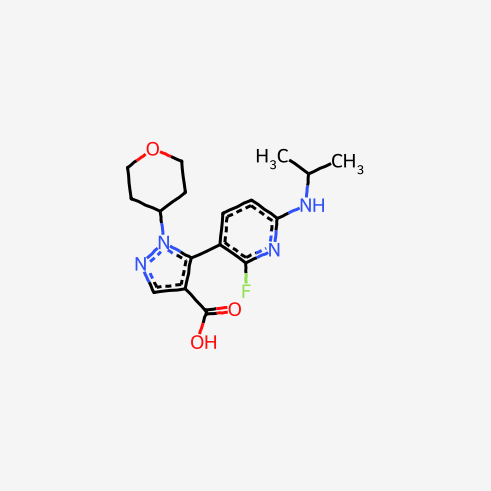 CC(C)Nc1ccc(-c2c(C(=O)O)cnn2C2CCOCC2)c(F)n1